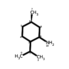 CC(C)C1CC[C@@H](C)CC1N